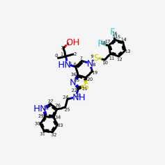 CC(C)(CO)NC1=CN(SCc2cccc(F)c2F)Cc2sc(NCCc3c[nH]c4ccccc34)nc21